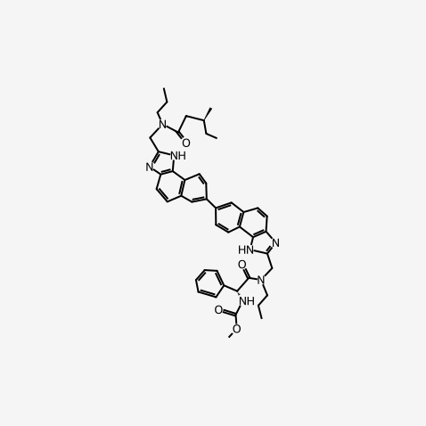 CCCN(Cc1nc2ccc3cc(-c4ccc5c(ccc6nc(CN(CCC)C(=O)[C@H](NC(=O)OC)c7ccccc7)[nH]c65)c4)ccc3c2[nH]1)C(=O)C[C@@H](C)CC